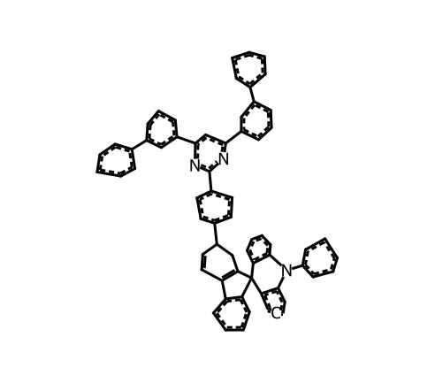 C1=CC(c2ccc(-c3nc(-c4cccc(-c5ccccc5)c4)cc(-c4cccc(-c5ccccc5)c4)n3)cc2)CC2=C1c1ccccc1C21c2ccccc2N(c2ccccc2)c2ccccc21